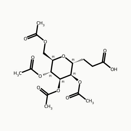 CC(=O)OC[C@H]1O[C@H](CCC(=O)O)[C@@H](OC(C)=O)[C@@H](OC(C)=O)[C@@H]1OC(C)=O